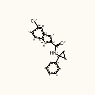 O=C(NC1(c2ccccc2)CC1)c1cc2cc(Cl)ccc2[nH]1